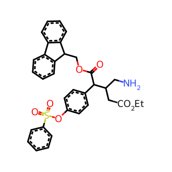 CCOC(=O)CC(CN)C(C(=O)OCC1c2ccccc2-c2ccccc21)c1ccc(OS(=O)(=O)c2ccccc2)cc1